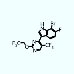 Fc1ccc2c(-c3nc(OCC(F)(F)F)ncc3C(F)(F)F)c[nH]c2c1Br